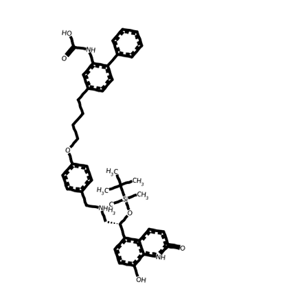 CC(C)(C)[Si](C)(C)O[C@@H](CNCc1ccc(OCCCCc2ccc(-c3ccccc3)c(NC(=O)O)c2)cc1)c1ccc(O)c2[nH]c(=O)ccc12